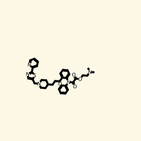 CN(C)CCOC(=O)C(=O)N(c1ccccc1)c1ccccc1C(=O)CCC1CCN(Cc2cnc(-c3ccccn3)s2)CC1